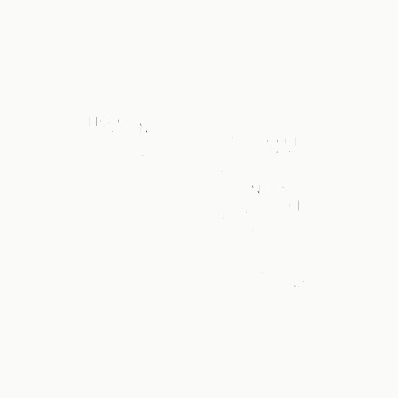 CC(C)N(C(=O)c1ccc(Cl)cc1Cl)c1cc(C2=CCN(C(=O)O)CC2)sc1C(=O)O